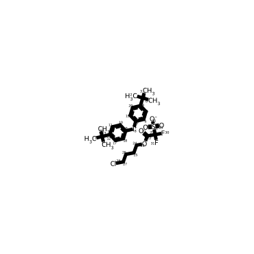 CC(C)(C)c1ccc([I+]c2ccc(C(C)(C)C)cc2)cc1.O=C(OCCCCCl)C(F)(F)S(=O)(=O)[O-]